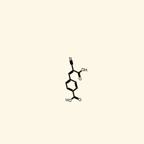 N#CC(=Cc1ccc(C(=O)O)cc1)C(=O)O